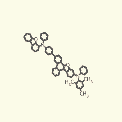 Cc1cc(C)c(N(c2ccccc2)c2ccc3c(c2)oc2c4ccc(-c5ccc(N(c6ccccc6)c6cccc7c6oc6ccccc67)cc5)cc4c4ccccc4c32)c(C)c1